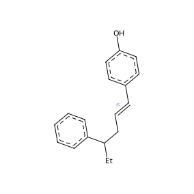 CCC(C/C=C/c1ccc(O)cc1)c1ccccc1